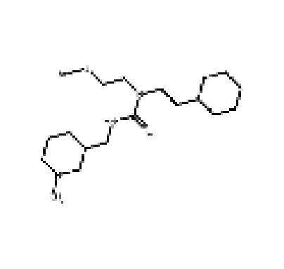 CC(=O)SCCN(CCC1CCCCC1)C(=O)NCC1CCCN(C)C1